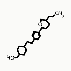 CCCC1CCC(c2ccc(CCC3CCC(CO)CC3)cc2)OC1